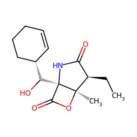 CC[C@@H]1C(=O)N[C@]2(C(O)[C@H]3C=CCCC3)C(=O)O[C@]12C